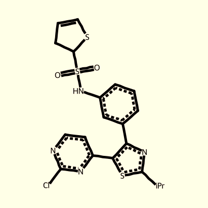 CC(C)c1nc(-c2cccc(NS(=O)(=O)C3CC=CS3)c2)c(-c2ccnc(Cl)n2)s1